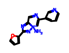 N[N+]12C=C(c3cccnc3)N=CC1=NC(c1ccco1)=N2